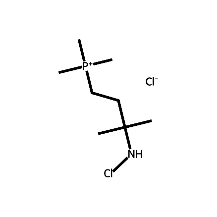 CC(C)(CC[P+](C)(C)C)NCl.[Cl-]